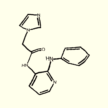 O=C(Cn1ccnc1)Nc1cccnc1Nc1ccccc1